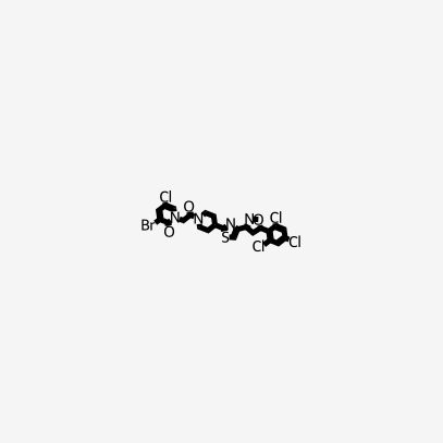 O=C(Cn1cc(Cl)cc(Br)c1=O)N1CCC(c2nc(C3=NOC(c4c(Cl)cc(Cl)cc4Cl)C3)cs2)CC1